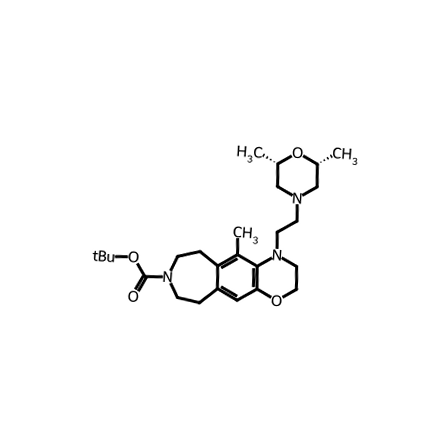 Cc1c2c(cc3c1N(CCN1C[C@@H](C)O[C@@H](C)C1)CCO3)CCN(C(=O)OC(C)(C)C)CC2